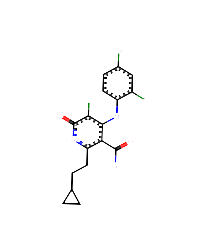 NC(=O)c1c(CCC2CC2)[nH]c(=O)c(F)c1Nc1ccc(Br)cc1F